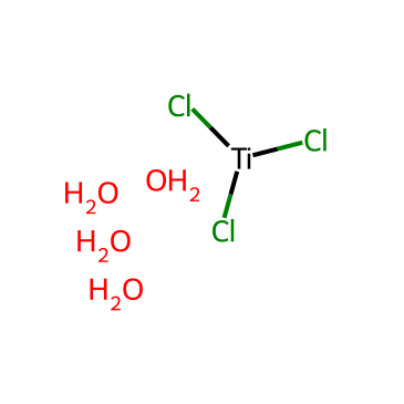 O.O.O.O.[Cl][Ti]([Cl])[Cl]